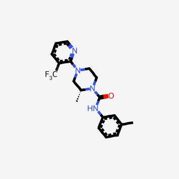 Cc1cccc(NC(=O)N2CCN(c3ncccc3C(F)(F)F)C[C@H]2C)c1